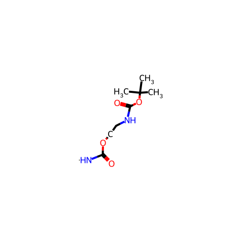 CC(C)(C)OC(=O)NCCOC([NH])=O